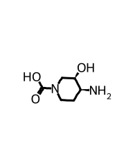 N[C@H]1CCN(C(=O)O)C[C@H]1O